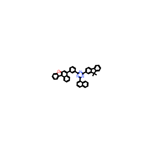 CC1(C)c2ccccc2-c2ccc(-c3nc(-c4cccc(-c5cc6oc7ccccc7c6c6ccccc56)c4)nc(-c4cccc5ccccc45)n3)cc21